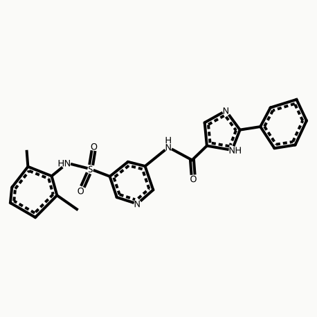 Cc1cccc(C)c1NS(=O)(=O)c1cncc(NC(=O)c2cnc(-c3ccccc3)[nH]2)c1